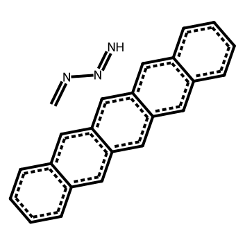 C=NN=N.c1ccc2cc3cc4cc5ccccc5cc4cc3cc2c1